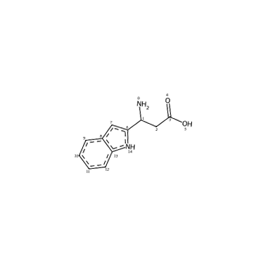 NC(CC(=O)O)c1cc2ccccc2[nH]1